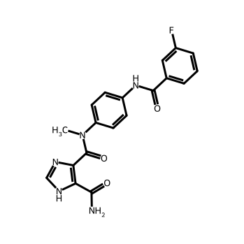 CN(C(=O)c1nc[nH]c1C(N)=O)c1ccc(NC(=O)c2cccc(F)c2)cc1